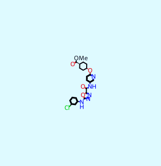 COC(=O)[C@H]1CC[C@@H](Oc2ccc(NC(=O)c3nnc(Nc4cccc(Cl)c4)o3)cn2)CC1